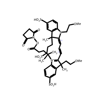 COCCN1/C(=C/C=C/C2=[N+](C(C)(C)CCC(=O)ON3C(=O)CCC3=O)c3ccc(S(=O)(=O)O)cc3C2(C)CCOC)C(C)(CCCS(=O)(=O)O)c2cc(S(=O)(=O)O)ccc21